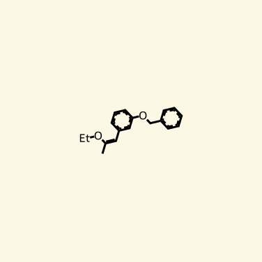 CCOC(C)=Cc1cccc(OCc2ccccc2)c1